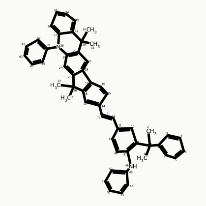 CC(C)(c1ccccc1)c1cc(/C=C/c2ccc3c(c2)C(C)(C)c2cc4c(cc2-3)C(C)(C)c2ccccc2N4c2ccccc2)ccc1Nc1ccccc1